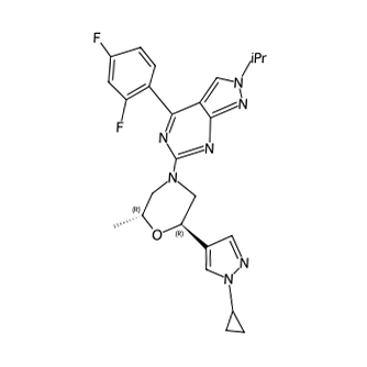 CC(C)n1cc2c(-c3ccc(F)cc3F)nc(N3C[C@@H](C)O[C@H](c4cnn(C5CC5)c4)C3)nc2n1